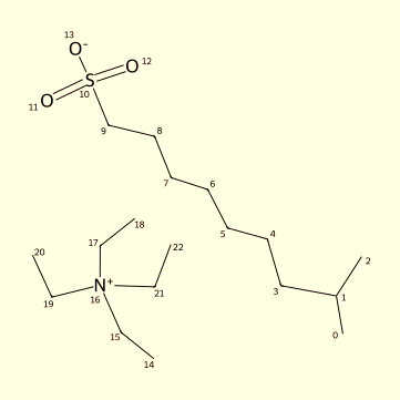 CC(C)CCCCCCCS(=O)(=O)[O-].CC[N+](CC)(CC)CC